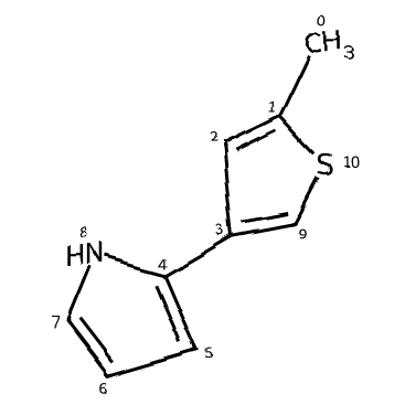 Cc1cc(-c2ccc[nH]2)cs1